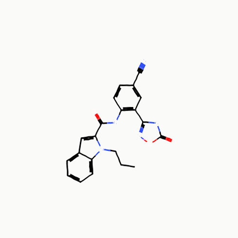 CCCn1c(C(=O)Nc2ccc(C#N)cc2-c2noc(=O)[nH]2)cc2ccccc21